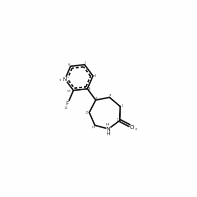 O=C1CCC(c2cccnc2F)CCN1